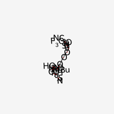 Cc1ncsc1-c1ccc(CNC(=O)[C@@H]2C[C@@H](O)CN2C(=O)[C@@H](NC(=O)COCCCCCOCCCOc2ccc(N3C(=S)N(c4ccc(C#N)c(C(F)(F)F)c4)C(=O)C3(C)C)cc2)C(C)(C)C)cc1